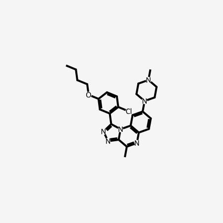 CCCCOc1ccc(Cl)c(-c2nnc3c(C)nc4ccc(N5CCN(C)CC5)cc4n23)c1